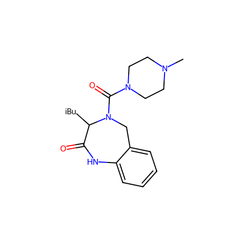 CCC(C)C1C(=O)Nc2ccccc2CN1C(=O)N1CCN(C)CC1